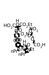 CCCOc1ccc(S(=O)(=O)N2CCN(OC(=O)C(O)(CC(=O)O)CC(=O)OCC)CC2)cc1-c1nc2c(CCC)cn(CC)c2c(=O)[nH]1.O=C(O)CCOC[C@@H](CO[N+](=O)[O-])O[N+](=O)[O-]